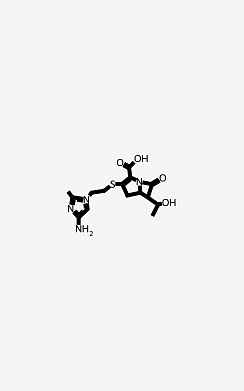 Cc1nc(N)cn1CCSC1=C(C(=O)O)N2C(=O)C(C(C)O)C2C1